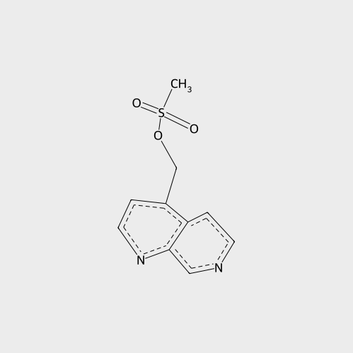 CS(=O)(=O)OCc1ccnc2cnccc12